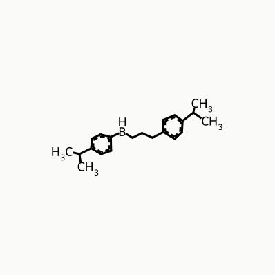 CC(C)c1ccc(BCCCc2ccc(C(C)C)cc2)cc1